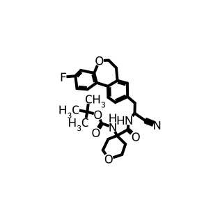 CC(C)(C)OC(=O)NC1(C(=O)NC(C#N)Cc2ccc3c(c2)CCOc2cc(F)ccc2-3)CCOCC1